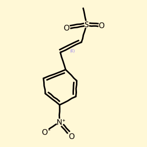 CS(=O)(=O)/C=C/c1ccc([N+](=O)[O-])cc1